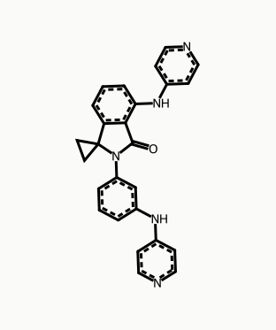 O=C1c2c(Nc3ccncc3)cccc2C2(CC2)N1c1cccc(Nc2ccncc2)c1